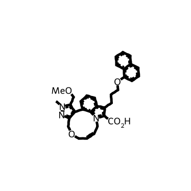 COCc1c2c(nn1C)COC/C=C\Cn1c(C(=O)O)c(CCCOc3cccc4ccccc34)c3cccc-2c31